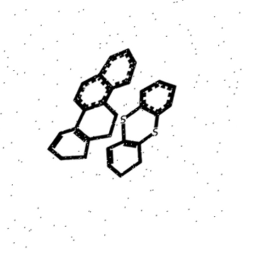 C1=CC2=C(CC1)CCc1c2ccc2ccccc12.C1=CC2=C(CC1)Sc1ccccc1S2